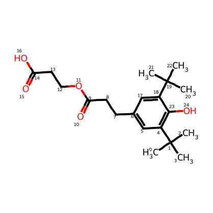 CC(C)(C)c1cc(CCC(=O)OCCC(=O)O)cc(C(C)(C)C)c1O